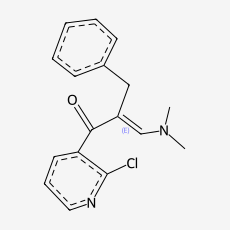 CN(C)/C=C(\Cc1ccccc1)C(=O)c1cccnc1Cl